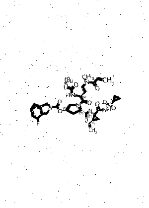 C=CC(=O)N(C)CC[C@H](NC(=O)OC(C)(C)C)C(=O)N1C[C@H](OC(=O)N2Cc3cccc(F)c3C2)C[C@H]1C(=O)N[C@]1(C(=O)NS(=O)(=O)C2CC2)C[C@H]1C=C